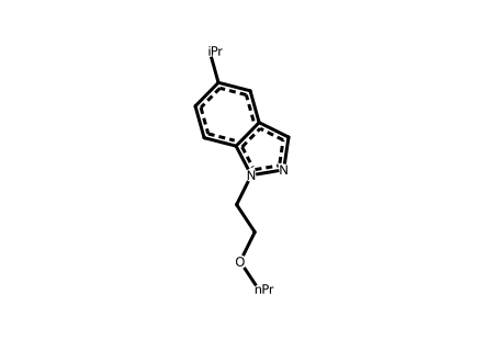 CCCOCCn1ncc2cc(C(C)C)ccc21